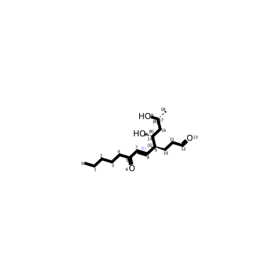 CCCCCC(=O)/C=C/[C@H](CCC=O)[C@H](O)C[C@@H](C)O